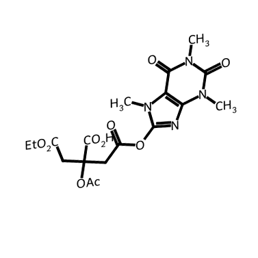 CCOC(=O)CC(CC(=O)Oc1nc2c(c(=O)n(C)c(=O)n2C)n1C)(OC(C)=O)C(=O)O